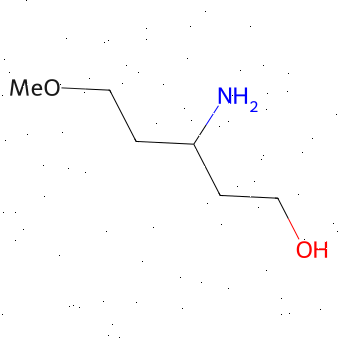 COCCC(N)CCO